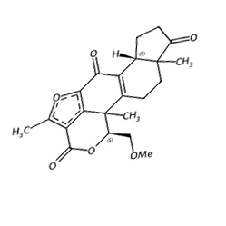 COC[C@H]1OC(=O)c2c(C)oc3c2C1(C)C1=C(C3=O)[C@@H]2CCC(=O)C2(C)CC1